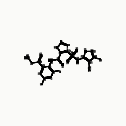 Cc1cc(C)c(NC(=O)c2sccc2S(=O)(=O)Nc2onc(C)c2Cl)c(C(=O)CO)c1